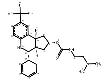 CN(C)CCNC(=O)O[C@@H]1C[C@@H]2[C@H](C1)c1cc(C(F)(F)F)ccc1N[C@H]2C1C=CC=CC1